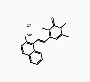 COc1ccc2ccccc2c1C=Cc1cc(C)n(C)c(=O)[n+]1C.[Cl-]